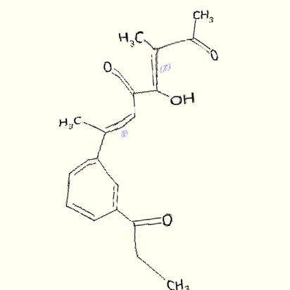 CCC(=O)c1cccc(/C(C)=C/C(=O)/C(O)=C(\C)C(C)=O)c1